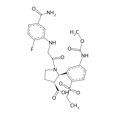 CCS(=O)(=O)c1ccc(NC(=O)OC)cc1[C@H]1[C@@H](C(=O)O)CCN1C(=O)CNc1cc(C(N)=O)ccc1F